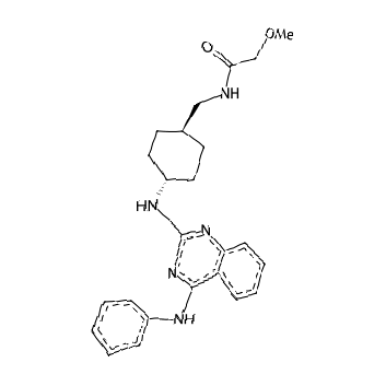 COCC(=O)NC[C@H]1CC[C@H](Nc2nc(Nc3ccccc3)c3ccccc3n2)CC1